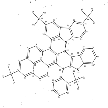 CC(C)(C)c1cc2ccc3c4c5c(c6ccc(c1)c2c36)N(c1ccccc1C(C)(C)C)c1sc2ccccc2c1B5n1c2ccc(C(C)(C)C)cc2c2cc(C(C)(C)C)cc-4c21